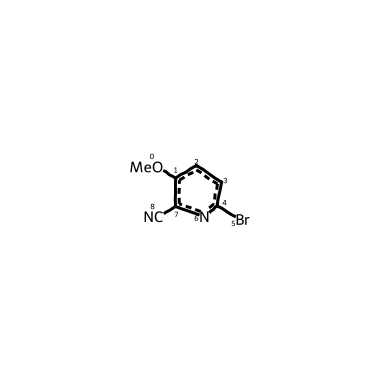 COc1ccc(Br)nc1C#N